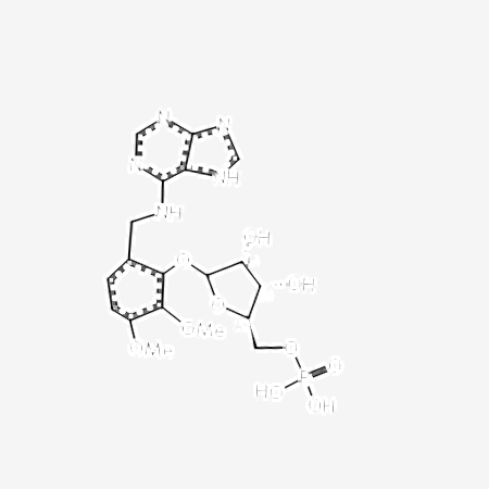 COc1ccc(CNc2ncnc3nc[nH]c23)c(OC2O[C@H](COP(=O)(O)O)[C@@H](O)[C@H]2O)c1OC